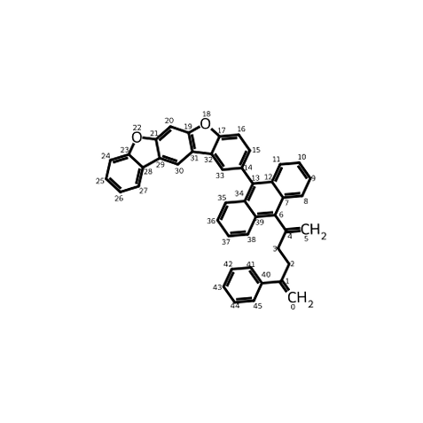 C=C(CCC(=C)c1c2ccccc2c(-c2ccc3oc4cc5oc6ccccc6c5cc4c3c2)c2ccccc12)c1ccccc1